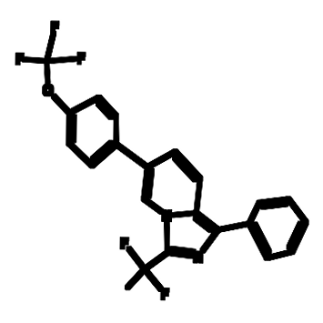 CC(F)(F)c1nc(-c2ccccc2)c2ccc(-c3ccc(OC(F)(F)F)cc3)cn12